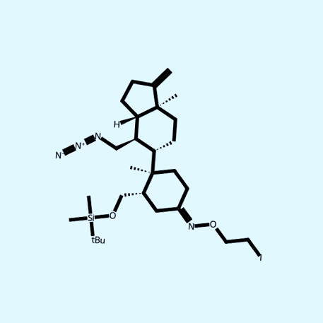 C=C1CC[C@H]2[C@H](CN=[N+]=[N-])[C@@H]([C@@]3(C)CC/C(=N\OCCI)C[C@@H]3CO[Si](C)(C)C(C)(C)C)CC[C@]12C